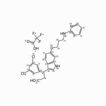 O=C(O)C(F)(F)F.O=C(O)CC(c1cc(Cl)cc(Cl)c1)c1c[nH]c2cc(OCCCNc3ccccn3)ccc12